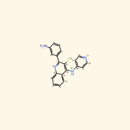 Nc1cccc(-c2nc3ccccc3c(Nc3ccncc3)c2F)c1